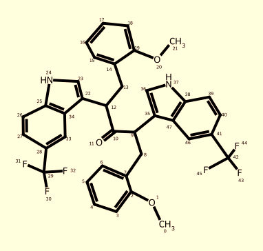 COc1ccccc1CC(C(=O)C(Cc1ccccc1OC)c1c[nH]c2ccc(C(F)(F)F)cc12)c1c[nH]c2ccc(C(F)(F)F)cc12